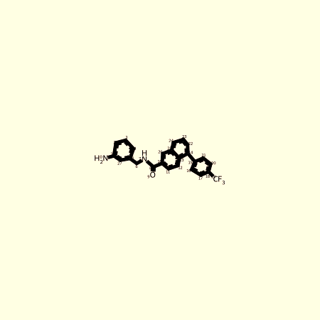 Nc1cccc(CNC(=O)c2ccc3c(-c4ccc(C(F)(F)F)cc4)cccc3c2)c1